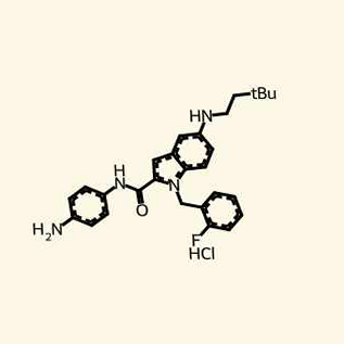 CC(C)(C)CCNc1ccc2c(c1)cc(C(=O)Nc1ccc(N)cc1)n2Cc1ccccc1F.Cl